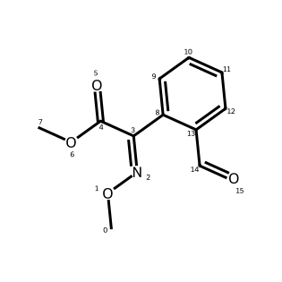 CON=C(C(=O)OC)c1ccccc1C=O